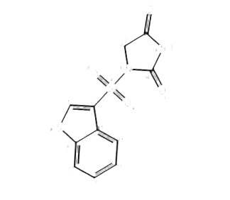 O=C1CN(S(=O)(=O)c2csc3ccccc23)C(=O)N1